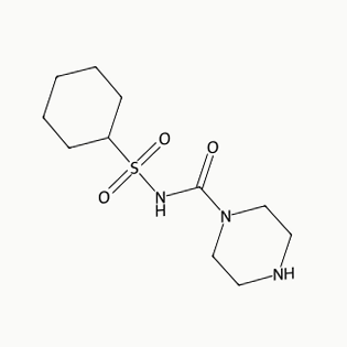 O=C(NS(=O)(=O)C1CCCCC1)N1CCNCC1